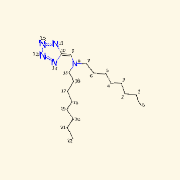 CCCCCCCCN(C=C1N=NN=N1)CCCCCCCC